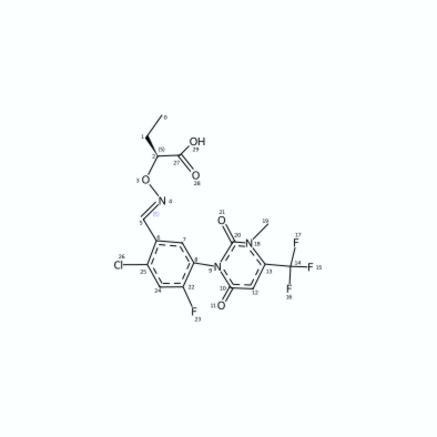 CC[C@H](O/N=C/c1cc(-n2c(=O)cc(C(F)(F)F)n(C)c2=O)c(F)cc1Cl)C(=O)O